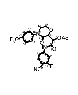 CC(=O)OC(C(=O)Nc1ccc(C#N)c(F)c1)C1OCCN(c2ccc(C(F)(F)F)cc2)C1=O